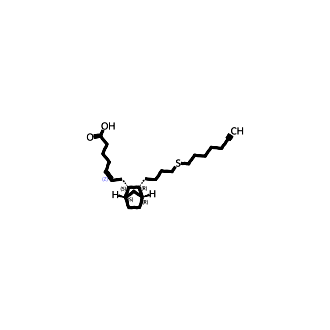 C#CCCCCCSCCCC[C@@H]1[C@@H]2CC[C@@H](C2)[C@@H]1C/C=C\CCCC(=O)O